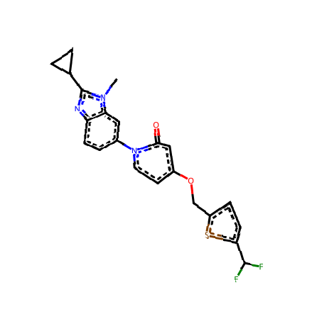 Cn1c(C2CC2)nc2ccc(-n3ccc(OCc4ccc(C(F)F)s4)cc3=O)cc21